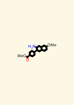 COC(=O)c1ccc(-c2cc3ccc(OC)cc3cc2N)cc1